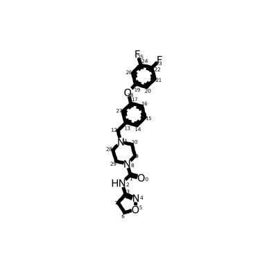 O=C(NC1=NOCC1)N1CCN(Cc2cccc(Oc3ccc(F)c(F)c3)c2)CC1